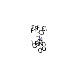 CONC(C(=O)OC)c1cccc(C)c1CO/N=C(\C)c1ccc(Cl)c(F)c1CC(F)(F)F